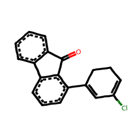 O=C1c2ccccc2-c2cccc(C3=CC(Cl)=CCC3)c21